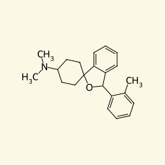 Cc1ccccc1C1OC2(CCC(N(C)C)CC2)c2ccccc21